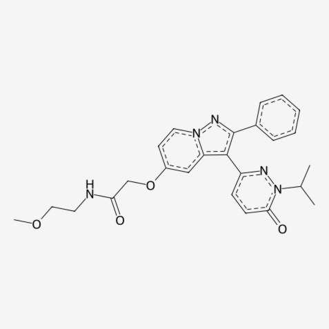 COCCNC(=O)COc1ccn2nc(-c3ccccc3)c(-c3ccc(=O)n(C(C)C)n3)c2c1